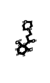 O=C(CCN1CCOCC1)c1c(Cl)cccc1Cl